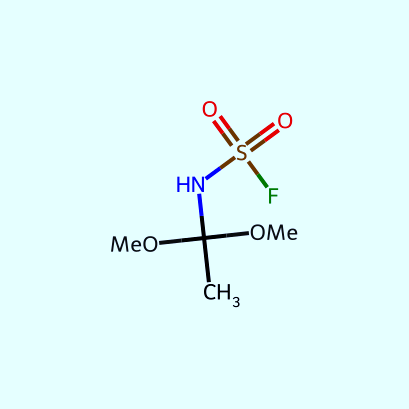 COC(C)(NS(=O)(=O)F)OC